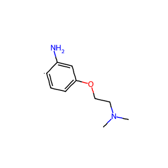 CN(C)CCOc1cc[c]c(N)c1